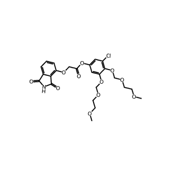 COCCOCOc1cc(OC(=O)COc2cccc3c2C(=O)NC3=O)cc(Cl)c1OCOCCOC